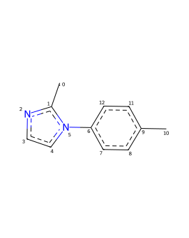 [CH2]c1nccn1-c1ccc(C)cc1